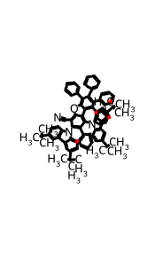 CC(C)(C)c1ccc2c(c1)c1cc(C(C)(C)C)ccc1n2-c1c(-c2ccccc2)c(-n2c3ccc(C(C)(C)C)cc3c3cc(C(C)(C)C)ccc32)c2c(oc3c(-c4ccccc4)c(-c4ccccc4)c(-c4ccccc4)c(-c4ccccc4)c32)c1C#N